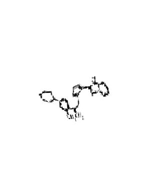 C=C(CC1=CCC=C1c1cc2ccccc2[nH]1)c1ccc(C2CCCCC2)cc1C